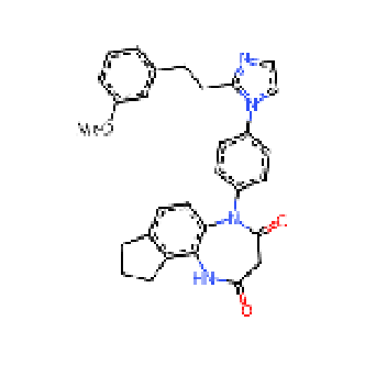 COc1cccc(CCc2nccn2-c2ccc(N3C(=O)CC(=O)Nc4c3ccc3c4CCC3)cc2)c1